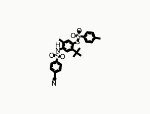 Cc1ccc(S(=O)(=O)Sc2cc(C)c(NS(=O)(=O)c3ccc(C#N)cc3)cc2C(C)(C)C)cc1